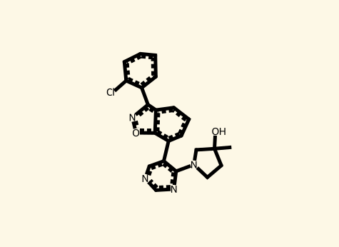 CC1(O)CCN(c2ncncc2-c2cccc3c(-c4ccccc4Cl)noc23)C1